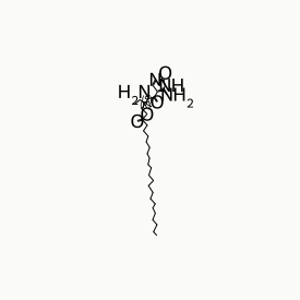 CCCCCCCCCCCCCCCCCCCCCC(=O)OC[C@](C)(CC)[C@H](N)C(=O)c1cnc(=O)[nH]c1N